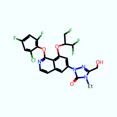 CCn1c(CO)nn(-c2cc(OC(CF)C(F)F)c3c(Oc4c(F)cc(F)cc4Cl)nccc3c2)c1=O